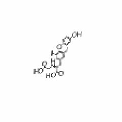 O=C(O)CN[C@@H](Cc1cc(I)c(Oc2ccc(O)cc2)c(I)c1)C(=O)O